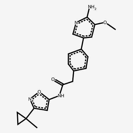 COc1cc(-c2ccc(CC(=O)Nc3cc(C4(C)CC4)no3)cc2)cnc1N